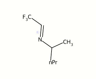 CCCC(C)/N=C/C(F)(F)F